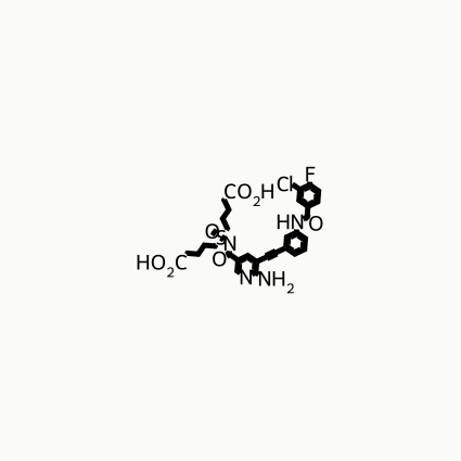 Nc1ncc(C(=O)N=S(=O)(CCCCC(=O)O)CCCCC(=O)O)cc1C#Cc1cccc(NC(=O)c2ccc(F)c(Cl)c2)c1